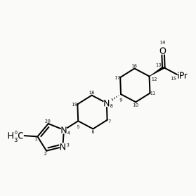 Cc1cnn(C2CCN([C@H]3CC[C@H](C(=O)C(C)C)CC3)CC2)c1